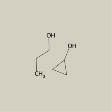 CCCO.OC1CC1